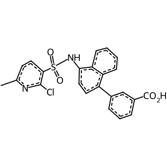 Cc1ccc(S(=O)(=O)Nc2ccc(-c3cccc(C(=O)O)c3)c3ccccc23)c(Cl)n1